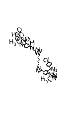 Cc1nnc2n1-c1ccc(-c3cnn(CCCCCCn4cc(CNc5ccc6nc(C)n(C7CCC(=O)NC7=O)c(=O)c6c5)nn4)c3)cc1C(c1ccc(Cl)cc1)=NC21CC1